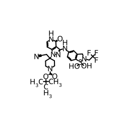 CC(C)(C)OC(=O)N1CCC(CC#N)(n2nc(Nc3ccc4c(c3)CN(CC(F)(F)F)S4(O)O)c3c(=O)[nH]ccc32)CC1